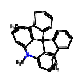 CCc1ccccc1C1(c2ccccc2CC)c2ccccc2N(C)c2ccccc21